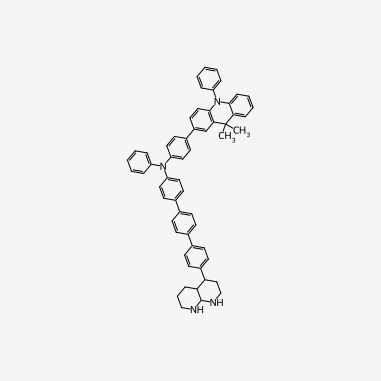 CC1(C)c2ccccc2N(c2ccccc2)c2ccc(-c3ccc(N(c4ccccc4)c4ccc(-c5ccc(-c6ccc(C7CCNC8NCCCC87)cc6)cc5)cc4)cc3)cc21